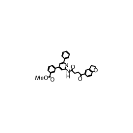 COC(=O)c1cccc(-c2cc(NC(=O)CCC(=O)c3ccc4c(c3)CCO4)nc(-c3ccccc3)c2)c1